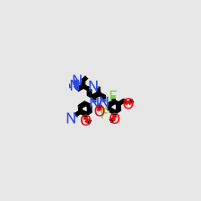 COCc1cc(OC)c(F)c(N2Cc3cnc(-c4cn(C)nc4C)cc3N(c3ccc(C#N)c(OC)c3)C2=O)c1F